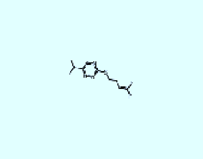 CC(C)c1cnc(SCCC=C(F)F)nn1